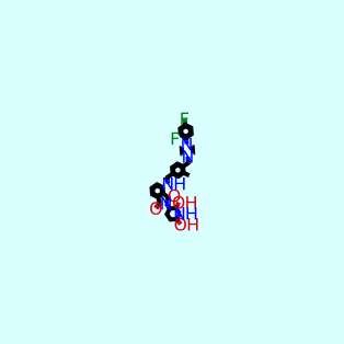 Cc1cc(CNc2cccc3c2C(=O)N(C2CCC(O)NC2O)C3=O)ccc1CN1CCN(c2ccc(F)cc2F)CC1